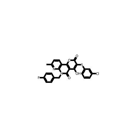 Cc1ccc2c3oc(=O)c(Sc4cccc(Cl)c4)c(O)c3c(=O)n(Cc3ccc(F)cc3)c2n1